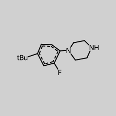 CC(C)(C)c1ccc(N2CCNCC2)c(F)c1